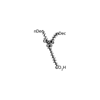 CCCCCCCCCCCCCCCCCC(=O)OCC(COC(=O)CCCCCCCCCCCCCCCCC)OC(=O)CCCCCCC/C=C/CCCCCCCC(=O)O